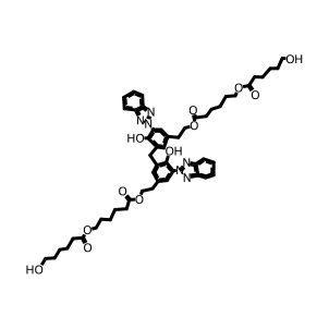 O=C(CCCCCO)OCCCCCC(=O)OCCc1cc(Cc2cc(CCOC(=O)CCCCCOC(=O)CCCCCO)cc(-n3nc4ccccc4n3)c2O)c(O)c(-n2nc3ccccc3n2)c1